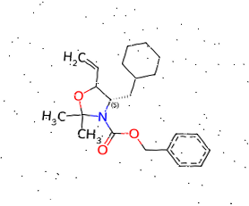 C=CC1OC(C)(C)N(C(=O)OCc2ccccc2)[C@H]1CC1CCCCC1